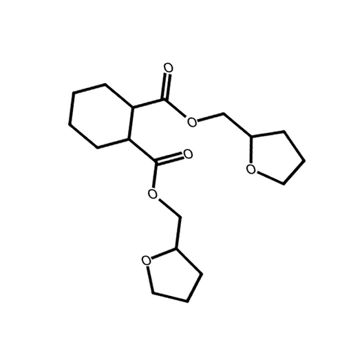 O=C(OCC1CCCO1)C1CCCCC1C(=O)OCC1CCCO1